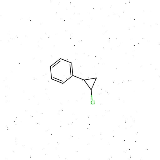 ClC1C[C]1c1ccccc1